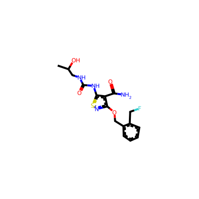 CC(O)CNC(=O)Nc1snc(OCc2ccccc2CF)c1C(N)=O